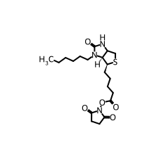 CCCCCCN1C(=O)NC2CS[C@@H](CCCCC(=O)ON3C(=O)CCC3=O)[C@H]21